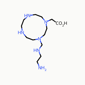 NCCNCN1CCNCCNCCN(CC(=O)O)CC1